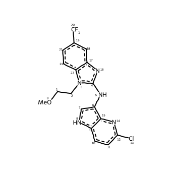 COCCn1c(Nc2c[nH]c3ccc(Cl)nc23)nc2cc(C(F)(F)F)ccc21